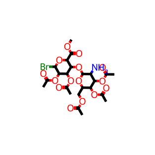 COC(=O)C1OC(Br)C(OC(C)=O)C(OC(C)=O)C1OC1OC(COC(C)=O)C(OC(C)=O)C(OC(C)=O)C1N